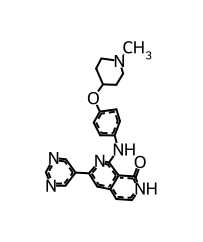 CN1CCC(Oc2ccc(Nc3nc(-c4cncnc4)cc4cc[nH]c(=O)c34)cc2)CC1